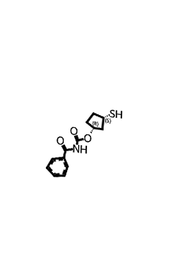 O=C(NC(=O)c1ccccc1)O[C@@H]1CC[C@H](S)C1